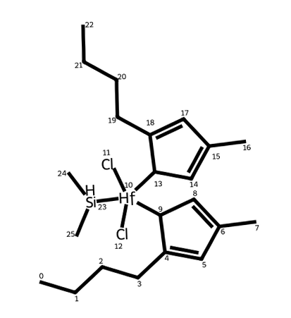 CCCCC1=CC(C)=C[CH]1[Hf]([Cl])([Cl])([CH]1C=C(C)C=C1CCCC)[SiH](C)C